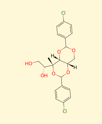 C[C@]1([C@H](O)CO)OC(c2ccc(Cl)cc2)O[C@H]2COC(c3ccc(Cl)cc3)O[C@H]21